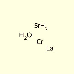 O.[Cr].[La].[SrH2]